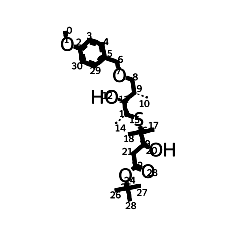 COc1ccc(COC[C@H](C)[C@H](O)[C@@H](C)SC(C)(C)C(O)CC(=O)OC(C)(C)C)cc1